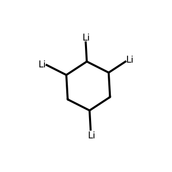 [Li][CH]1C[CH]([Li])[CH]([Li])[CH]([Li])C1